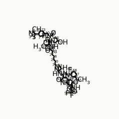 Cc1ncsc1-c1ccc(CNC(=O)[C@@H]2C[C@@H](O)CN2C(=O)[C@@H](NC(=O)CCCCCCn2ccc(Nc3[nH]nc(-c4ccc(NS(=O)(=O)C(F)F)c(O[C@@H](C)c5ccc(F)cc5)c4)c3C(N)=O)n2)C(C)(C)C)cc1